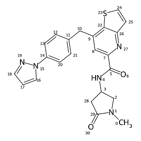 CN1CC(NC(=O)c2cc(Cc3ccc(-n4cccn4)cc3)c3sccc3n2)CC1=O